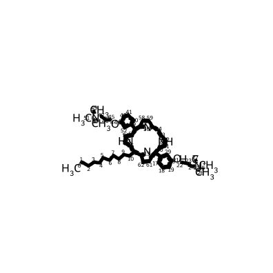 CCCCCCCCCCCc1c2nc(c(-c3cccc(OCCC[N+](C)(C)C)c3)c3ccc(cc4nc(c(-c5cccc(OCCC[N+](C)(C)C)c5)c5ccc1[nH]5)C=C4)[nH]3)C=C2